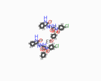 CCOc1ccc(S(=O)(=O)N(CC(=O)N/N=C2\C(=O)Nc3ccccc32)c2ccc(Cl)cc2)cc1.O=C(CN(c1ccc(Cl)cc1)S(=O)(=O)c1ccccc1)N/N=C1\C(=O)Nc2ccccc21